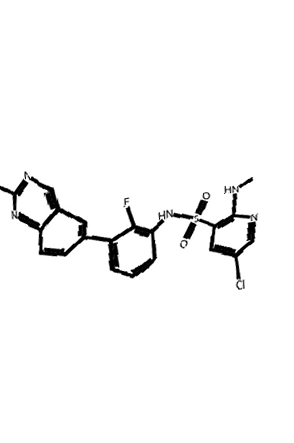 CNc1ncc2cc(-c3cccc(NS(=O)(=O)c4cc(Cl)cnc4NC)c3F)ccc2n1